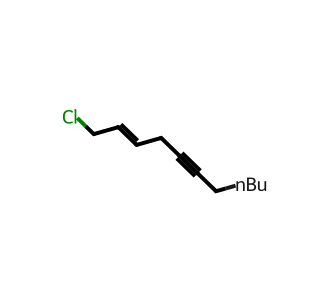 CCCCCC#CCC=CCCl